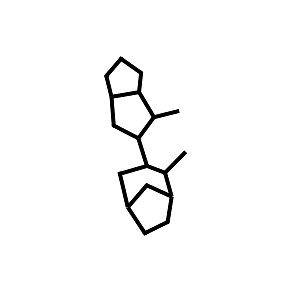 CC1C2CCC(C2)CC1C1CC2CCCC2C1C